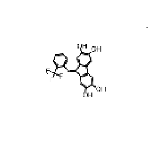 Oc1cc2c(cc1O)-c1cc(O)c(O)cc1C2=Cc1ccccc1C(F)(F)F